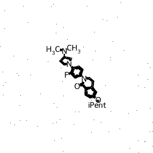 CCCC(C)Oc1ccc2c(c1)CCN(c1ccc(N3CC[C@@H](N(C)C)C3)c(F)c1)C2=O